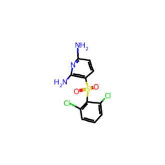 Nc1ccc(S(=O)(=O)c2c(Cl)cccc2Cl)c(N)n1